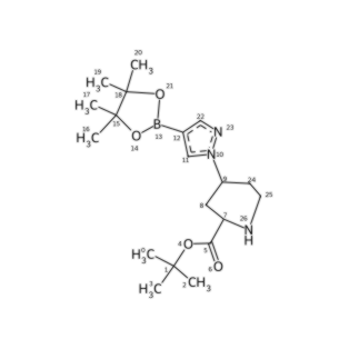 CC(C)(C)OC(=O)C1CC(n2cc(B3OC(C)(C)C(C)(C)O3)cn2)CCN1